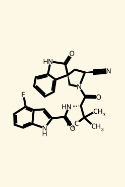 CC(C)(C)[C@H](NC(=O)c1cc2c(F)cccc2[nH]1)C(=O)N1C[C@]2(C[C@H]1C#N)C(=O)Nc1ccccc12